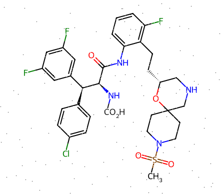 CS(=O)(=O)N1CCC2(CC1)CNC[C@@H](CCc1c(F)cccc1NC(=O)[C@@H](NC(=O)O)[C@@H](c1ccc(Cl)cc1)c1cc(F)cc(F)c1)O2